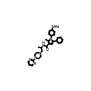 CSc1ccc(-n2c(-c3ccccc3)cc(C(=O)NC(C)CN3CCN(c4ncccn4)CC3)c2C)cc1